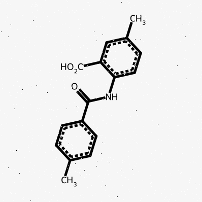 Cc1ccc(C(=O)Nc2ccc(C)cc2C(=O)O)cc1